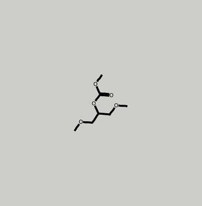 COCC(COC)OC(=O)OC